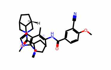 C=Nc1c(/C(C)=C(\C)NC(=O)c2ccc(OC)c(C#N)c2)c(C2C3CC[C@@H]2CN(C(=O)C2CCCC2)C3)cn1C